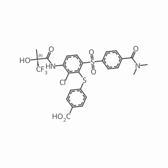 CN(C)C(=O)c1ccc(S(=O)(=O)c2ccc(NC(=O)[C@@](C)(O)C(F)(F)F)c(Cl)c2Sc2ccc(C(=O)O)cc2)cc1